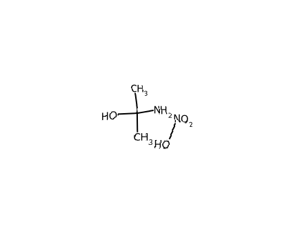 CC(C)(N)O.O=[N+]([O-])O